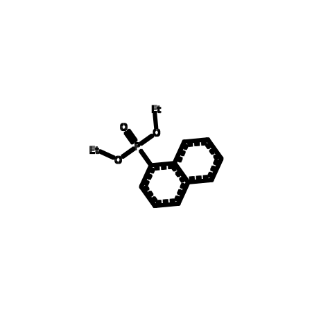 CCOP(=O)(OCC)c1cccc2ccccc12